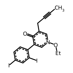 CC#CCc1cn(OCC)cc(-c2ccc(I)cc2I)c1=O